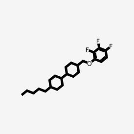 CCCCCC1CCC(C2CCC(COc3ccc(F)c(F)c3F)CC2)CC1